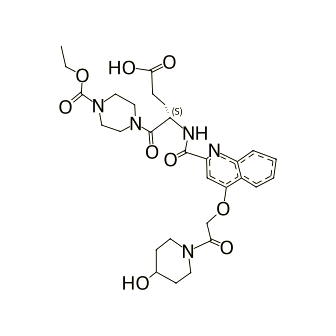 CCOC(=O)N1CCN(C(=O)[C@H](CCC(=O)O)NC(=O)c2cc(OCC(=O)N3CCC(O)CC3)c3ccccc3n2)CC1